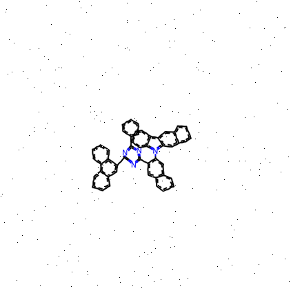 c1ccc(-c2nc(-c3cc4ccccc4cc3-n3c4ccccc4c4cc5ccccc5cc43)nc(-c3cc4ccccc4c4ccccc34)n2)cc1